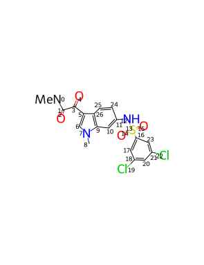 CNC(=O)C(=O)c1cn(C)c2cc(NS(=O)(=O)c3cc(Cl)cc(Cl)c3)ccc12